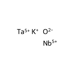 [K+].[Nb+5].[O-2].[Ta+5]